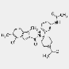 CC(=O)Nc1cccc(C2(NC(=O)c3cc4c(Cl)c(C)ccc4n3C)CCN(C(C)=O)CC2)c1